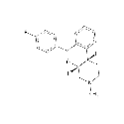 CN1CC[C@H]2c3ccccc3C(c3ccc(F)cc3)O[C@H]2C1